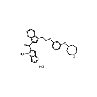 Cl.Cn1c(C(=O)c2cn(CCOc3cccc(OC4CCCNCC4)c3)c3ccccc23)cc2sccc21